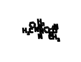 COc1cc(N(C#N)/C(N)=N/c2ccccc2C)ccc1-c1cnco1